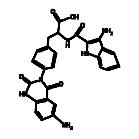 Nc1ccc2[nH]c(=O)n(-c3ccc(CC(NC(=O)c4[nH]c5ccccc5c4N)C(=O)O)cc3)c(=O)c2c1